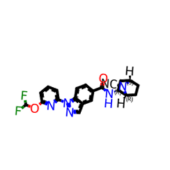 N#CN1[C@H]2CC[C@@H]1[C@H](NC(=O)c1ccc3c(cnn3-c3cccc(OC(F)F)n3)c1)C2